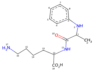 CC(Nc1ccccc1)C(=O)NC(CCCCN)C(=O)O